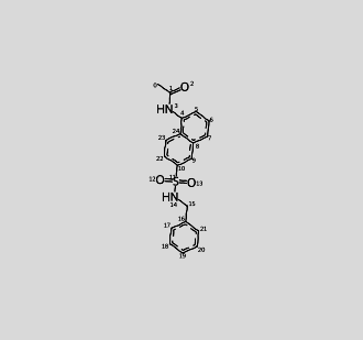 CC(=O)Nc1cccc2cc(S(=O)(=O)NCc3ccccc3)ccc12